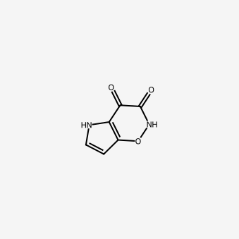 O=c1[nH]oc2cc[nH]c2c1=O